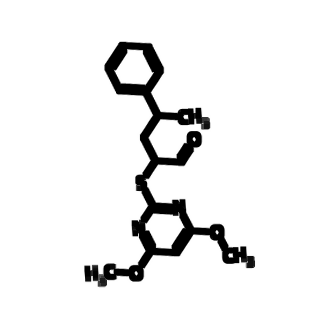 COc1cc(OC)nc(SC(C=O)CC(C)c2ccccc2)n1